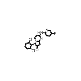 O=c1cc2nc(Nc3ccc(F)cn3)ccn2n1-c1c(Cl)cccc1Cl